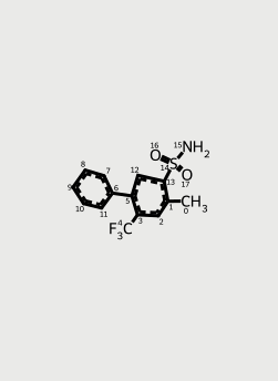 Cc1cc(C(F)(F)F)c(-c2ccccc2)cc1S(N)(=O)=O